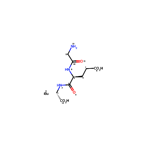 CC[C@H](C)[C@H](NC(=O)[C@H](CCC(=O)O)NC(=O)CN)C(=O)O